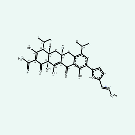 CO/N=C/c1ccc(-c2cc(N(C)C)c3c(c2O)C(=O)C2=C(O)[C@]4(O)C(=O)C(C(N)=O)=C(O)[C@@H](N(C)C)[C@@H]4C[C@@H]2C3)o1